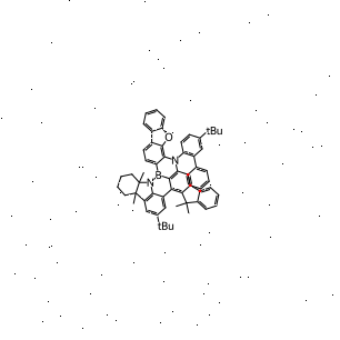 CC(C)(C)c1ccc(N2c3cc4c(c5c3B(c3ccc6c(oc7ccccc76)c32)N2c3c-5cc(C(C)(C)C)cc3C3(C)CCCCC23C)C(C)(C)c2ccccc2-4)c(-c2ccccc2)c1